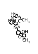 CC(C)Cn1cnc(Nc2nccc(-c3csc(-c4cccc([C@]5(O)CCN(C)C5=O)c4)n3)n2)c1